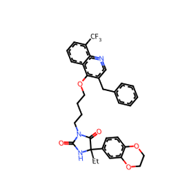 CCC1(c2ccc3c(c2)OCCO3)NC(=O)N(CCCCOc2c(Cc3ccccc3)cnc3c(C(F)(F)F)cccc23)C1=O